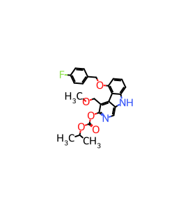 COCc1c(OC(=O)OC(C)C)ncc2[nH]c3cccc(OCc4ccc(F)cc4)c3c12